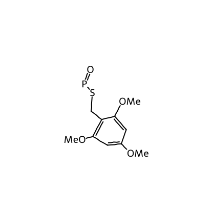 COc1cc(OC)c(CSP=O)c(OC)c1